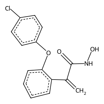 C=C(C(=O)NO)c1ccccc1Oc1ccc(Cl)cc1